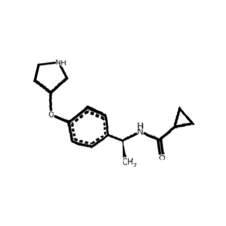 C[C@H](NC(=O)C1CC1)c1ccc(OC2CCNC2)cc1